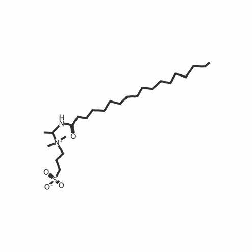 CCCCCCCCCCCCCCCCCC(=O)NC(C)[N+](C)(C)CCCS(=O)(=O)[O-]